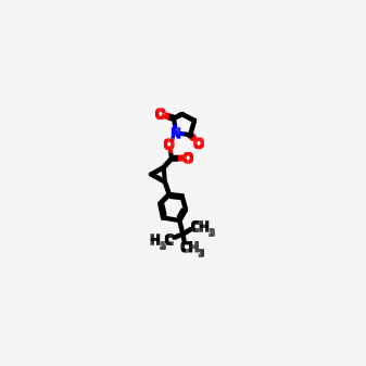 CC(C)(C)c1ccc(C2CC2C(=O)ON2C(=O)CCC2=O)cc1